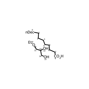 CCCCCCCCCCCCCCCCCC(=O)O.CCOCC(O)CO